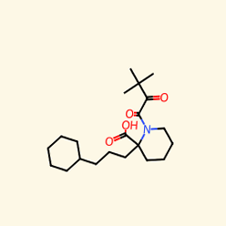 CC(C)(C)C(=O)C(=O)N1CCCCC1(CCCC1CCCCC1)C(=O)O